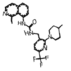 Cc1nccc2cccc(NC(=O)NCc3ccc(C(F)(F)F)nc3N3CCC(C)CC3)c12